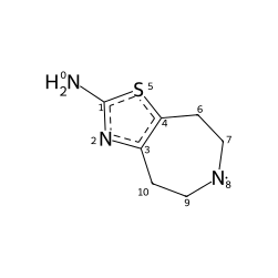 Nc1nc2c(s1)CC[N]CC2